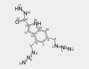 [N-]=[N+]=NCc1cc(CN=[N+]=[N-])c2cc(C(=O)N=N)[nH]c2c1